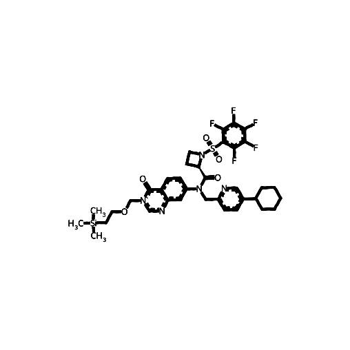 C[Si](C)(C)CCOCn1cnc2cc(N(Cc3ccc(C4CCCCC4)cn3)C(=O)[C@H]3CCN3S(=O)(=O)c3c(F)c(F)c(F)c(F)c3F)ccc2c1=O